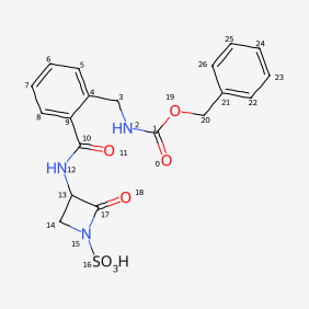 O=C(NCc1ccccc1C(=O)NC1CN(S(=O)(=O)O)C1=O)OCc1ccccc1